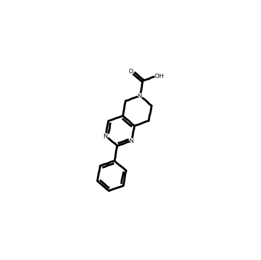 O=C(O)N1CCc2nc(-c3ccccc3)ncc2C1